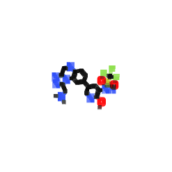 COc1ncc(-c2ccc3ncc4nnc(CN(C)C)n4c3c2)cc1NS(=O)(=O)C(F)(F)F